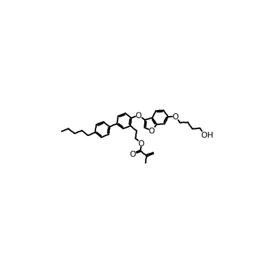 C=C(C)C(=O)OCCc1cc(-c2ccc(CCCCC)cc2)ccc1Oc1coc2cc(OCCCCO)ccc12